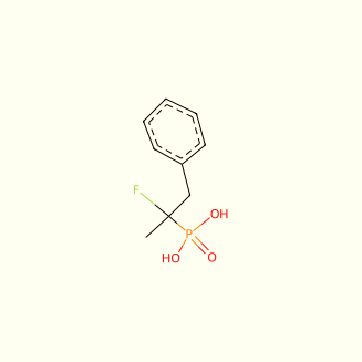 CC(F)(Cc1ccccc1)P(=O)(O)O